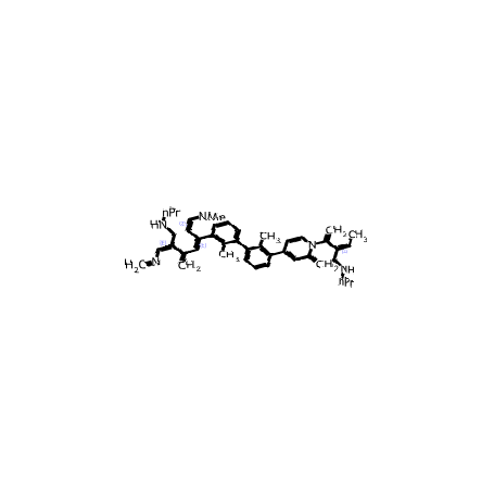 C=N/C=C(/CNCCC)C(=C)/C=C(\C=C/NC)c1cccc(-c2cccc(C3=CC(=C)N(C(=C)/C(=C\C)CNCCC)C=C3)c2C)c1C